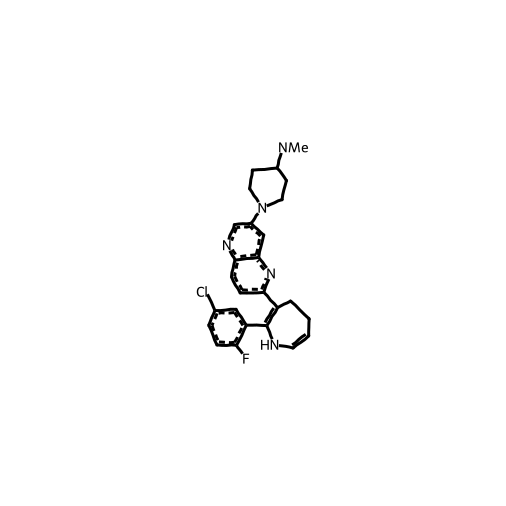 CNC1CCN(c2cnc3ccc(C4=C(c5cc(Cl)ccc5F)NC=CCC4)nc3c2)CC1